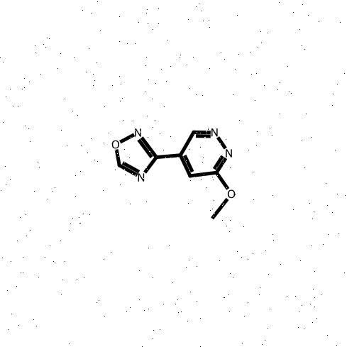 COc1cc(-c2ncon2)cnn1